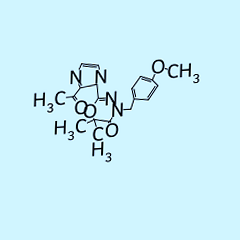 COc1ccc(CN2N=C(c3nccnc3C(C)=O)OC(C)(C)C2=O)cc1